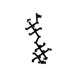 CC(C)(C)CS(C)(F)C(C)(C)CCC(C)(C)C(F)(F)S(C)(C)C(C)(C)C